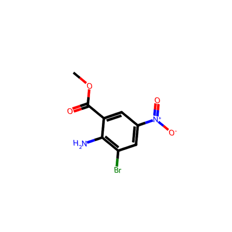 COC(=O)c1cc([N+](=O)[O-])cc(Br)c1N